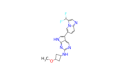 COC1CC(Nc2ncc3c(-c4ccc5ncc(C(F)F)n5c4)c[nH]c3n2)C1